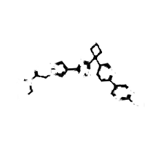 CCN(C)C(=O)Cn1cc(-c2nc(C3(c4ccc(-c5cnc(N)nc5)nc4)CCC3)no2)cn1